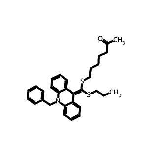 CCCSC(SCCCCCC(C)=O)=C1c2ccccc2N(Cc2ccccc2)c2ccccc21